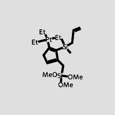 C=CC[Si](C)(C)C1=[C]([Pt]([CH2]C)([CH2]C)[CH2]C)CC=C1C[Si](OC)(OC)OC